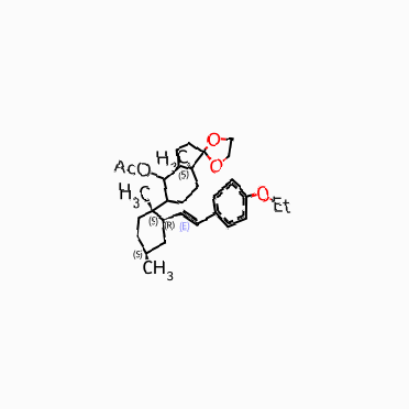 CCOc1ccc(/C=C/[C@H]2C[C@@H](C)CC[C@]2(C)C2CC[C@@]3(C)C(CCC34OCCO4)C2OC(C)=O)cc1